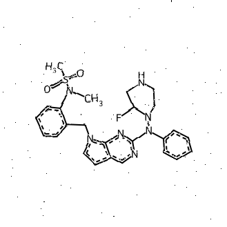 CN(c1ccccc1Cn1ccc2cnc(N(c3ccccc3)N3CCNCC3F)nc21)S(C)(=O)=O